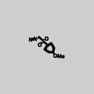 COc1ccc(S(=O)(=O)C=[N+]=[N-])cc1